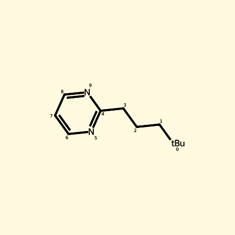 CC(C)(C)CCCc1ncccn1